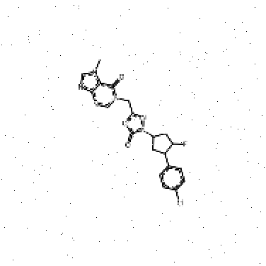 Cn1cnc2ncn(Cc3nn(C4CC(F)C(c5ccc(Cl)cc5)C4)c(=O)o3)c(=O)c21